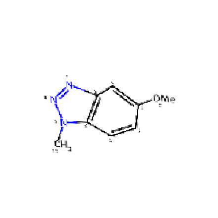 COc1ccc2c(c1)nnn2C